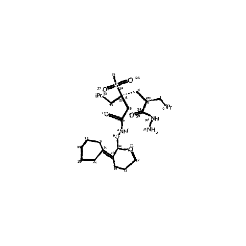 CC(C)C[C@H](C[C@](CC(=O)NOC1OCCCC1=C1CCCCC1)(CC(C)C)S(C)(=O)=O)C(=O)NN